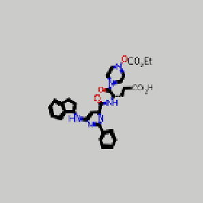 CCOC(=O)ON1CCN(C(=O)[C@H](CCC(=O)O)NC(=O)c2cc(NC3CCc4ccccc43)nc(-c3ccccc3)n2)CC1